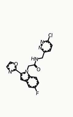 O=C(Cn1c(-c2ncco2)cc2cc(F)ccc21)NCc1ccc(Cl)nn1